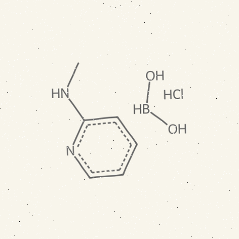 CNc1ccccn1.Cl.OBO